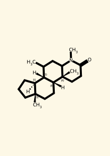 CC1CC2N(C)C(=O)CC[C@]2(C)[C@@H]2CC[C@]3(C)CCC[C@H]3[C@H]12